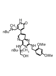 CCCCN(C)Cc1c[nH]c(=O)cc1-c1cnc2c(N[C@@](C)(CO)CCCC)nc(NCc3ccc(OC)cc3OC)nc2c1